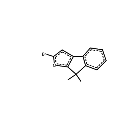 CC1(C)c2ccccc2-c2cc(Br)oc21